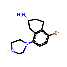 N[C@@H]1CCc2c(Br)ccc(N3CCNCC3)c2C1